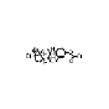 CCC(=O)OC1C=C2CC[C@@H]3[C@H](CCC4(CC)[C@H]3CC[C@@]4(O)CC)[C@H]2CC1